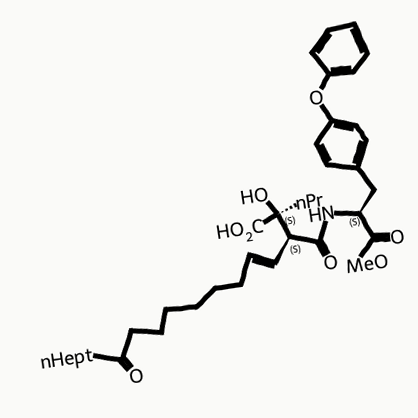 CCCCCCCC(=O)CCCCCCC=C[C@H](C(=O)N[C@@H](Cc1ccc(Oc2ccccc2)cc1)C(=O)OC)[C@@](O)(CCC)C(=O)O